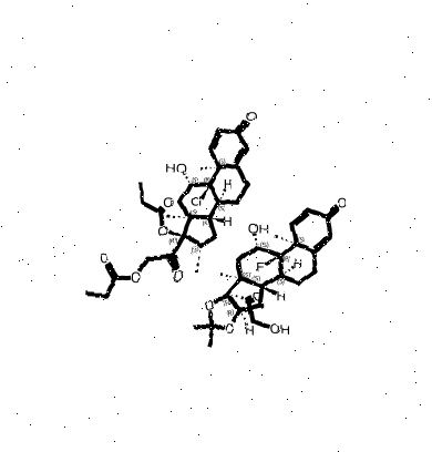 CC1(C)O[C@@H]2C[C@H]3[C@@H]4CCC5=CC(=O)C=C[C@]5(C)[C@@]4(F)[C@@H](O)C[C@]3(C)[C@]2(C(=O)CO)O1.CCC(=O)OCC(=O)[C@@]1(OC(=O)CC)[C@@H](C)C[C@H]2[C@@H]3CCC4=CC(=O)C=C[C@]4(C)[C@@]3(Cl)[C@@H](O)C[C@@]21C